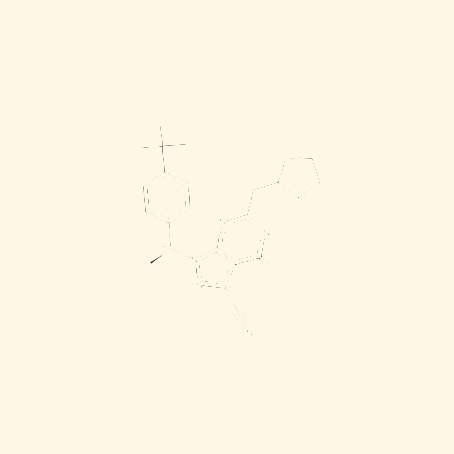 C[C@@H](c1ccc(C(F)(F)F)cc1)n1nc(C#N)c2c(=O)[nH]c(CC3CCCC3)nc21